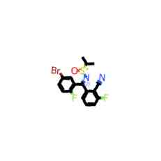 CC(C)[S+]([O-])/N=C(\c1cc(Br)ccc1F)c1cccc(F)c1C#N